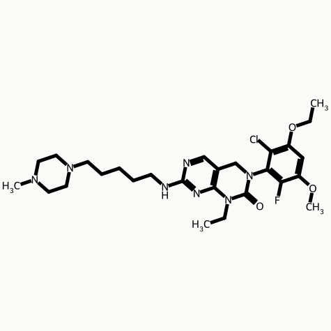 CCOc1cc(OC)c(F)c(N2Cc3cnc(NCCCCCN4CCN(C)CC4)nc3N(CC)C2=O)c1Cl